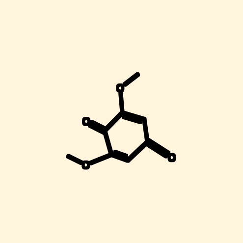 COC1=CC(=O)C=C(OC)C1=O